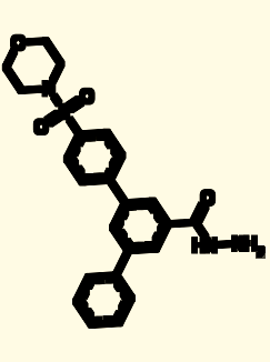 NNC(=O)c1cc(-c2ccccc2)cc(-c2ccc(S(=O)(=O)N3CCOCC3)cc2)c1